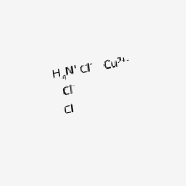 [Cl-].[Cl-].[Cl-].[Cu+2].[NH4+]